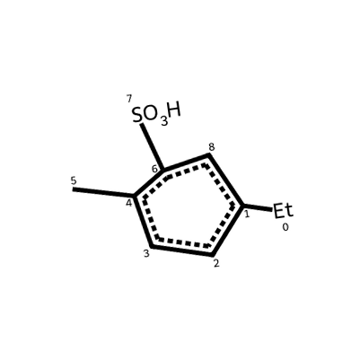 CCc1ccc(C)c(S(=O)(=O)O)c1